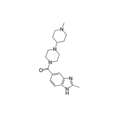 Cc1nc2cc(C(=O)N3CCN(C4CCN(C)CC4)CC3)ccc2[nH]1